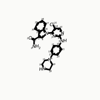 NC(=O)c1cn(-c2nc(Nc3ccc(N4CCNCC4)cc3)ncc2Cl)c2ccccc12